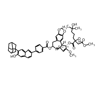 COC(=O)CC(O)(CCCC(C)(C)O)C(=O)O[C@@H]1C(OC)=C[C@]23CCCN2C(OC(=O)c2ccc(-c4ccc5cc(O)c(C67CC8CC(CC(C8)C6)C7)cc5c4)cc2)Cc2cc4c(cc2[C@H]13)OCO4